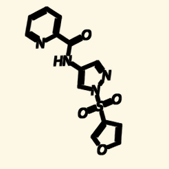 O=C(Nc1cnn(S(=O)(=O)c2ccoc2)c1)c1ccccn1